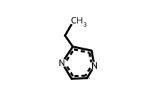 CCc1cn[c]cn1